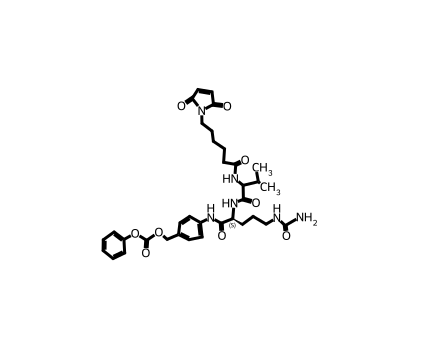 CC(C)C(NC(=O)CCCCCN1C(=O)C=CC1=O)C(=O)N[C@@H](CCCNC(N)=O)C(=O)Nc1ccc(COC(=O)Oc2ccccc2)cc1